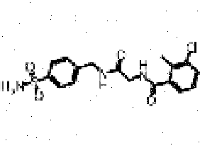 Cc1c(Cl)cccc1C(=O)NCC(=O)NCc1ccc(S(N)(=O)=O)cc1